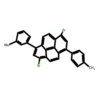 Cc1ccc(-c2cc(Br)c3ccc4c(-c5cccc(C(C)(C)C)c5)cc(Br)c5ccc2c3c54)cc1